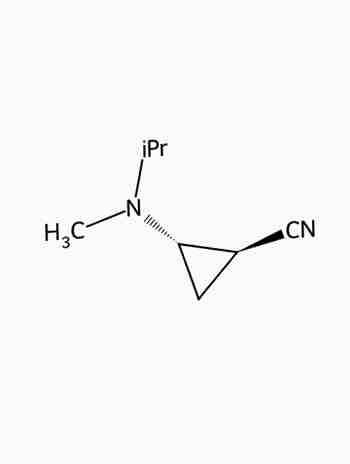 CC(C)N(C)[C@H]1C[C@@H]1C#N